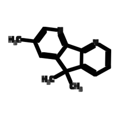 Cc1cnc2c(c1)C(C)(C)c1cccnc1-2